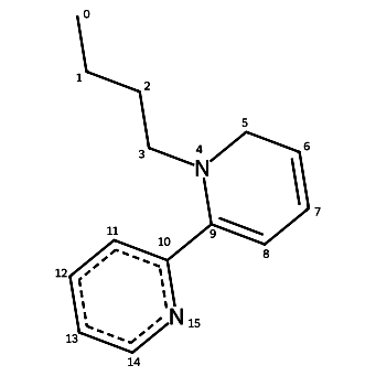 CCCCN1CC=CC=C1c1ccccn1